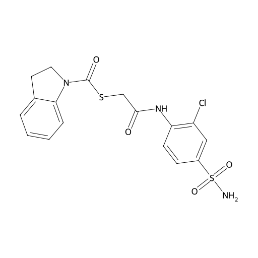 NS(=O)(=O)c1ccc(NC(=O)CSC(=O)N2CCc3ccccc32)c(Cl)c1